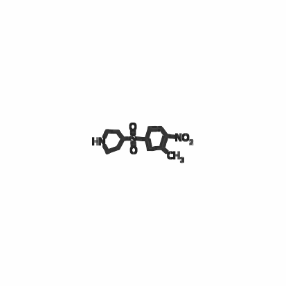 Cc1cc(S(=O)(=O)C2CCNCC2)ccc1[N+](=O)[O-]